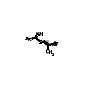 CC(=O)C(=N)S/C=C(\C)Br